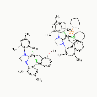 Cc1cc(C)c(N2CCN(c3c(C)cc(C)cc3C)[C]2=[Ru]([Cl])([Cl])(=[CH]c2ccccc2)[PH](C2CCCCC2)(C2CCCCC2)C2CCCCC2)c(C)c1.Cc1cc(C)c(N2CCN(c3c(C)cc(C)cc3C)[C]2=[Ru]([Cl])([Cl])=[CH]c2ccccc2OC(C)C)c(C)c1